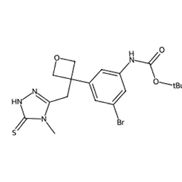 Cn1c(CC2(c3cc(Br)cc(NC(=O)OC(C)(C)C)c3)COC2)n[nH]c1=S